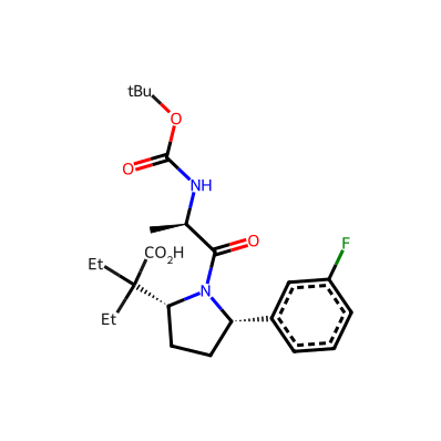 CCC(CC)(C(=O)O)[C@H]1CC[C@@H](c2cccc(F)c2)N1C(=O)[C@@H](C)NC(=O)OC(C)(C)C